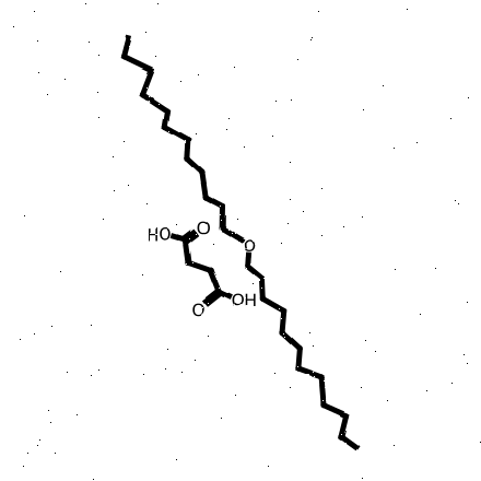 CCCCCCCCCCCCOCCCCCCCCCCCC.O=C(O)CCC(=O)O